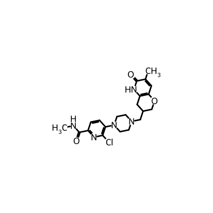 CNC(=O)c1ccc(N2CCN(CC3COc4cc(C)c(=O)[nH]c4C3)CC2)c(Cl)n1